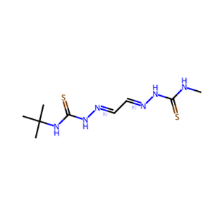 CNC(=S)N/N=C/C=N/NC(=S)NC(C)(C)C